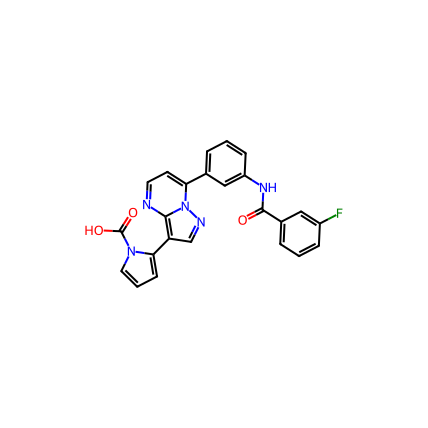 O=C(Nc1cccc(-c2ccnc3c(-c4cccn4C(=O)O)cnn23)c1)c1cccc(F)c1